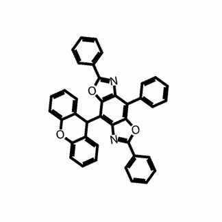 c1ccc(-c2nc3c(C4c5ccccc5Oc5ccccc54)c4oc(-c5ccccc5)nc4c(-c4ccccc4)c3o2)cc1